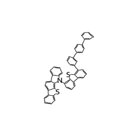 c1ccc(-c2ccc(-c3cccc(-c4cccc5c4sc4c(-n6c7ccccc7c7ccc8c9ccccc9sc8c76)cccc45)c3)cc2)cc1